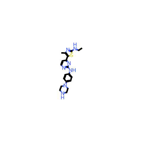 CCNc1nc(C)c(-c2ccnc(Nc3ccc(N4CCNCC4)cc3)n2)s1